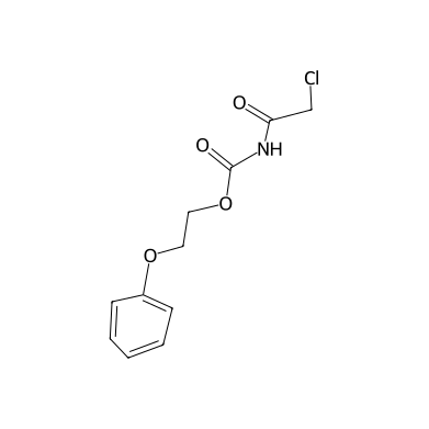 O=C(CCl)NC(=O)OCCOc1ccccc1